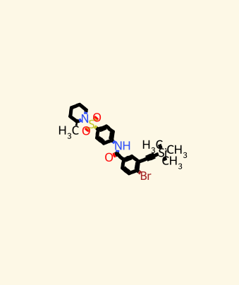 C[C@H]1CCCCN1S(=O)(=O)c1ccc(NC(=O)c2ccc(Br)c(C#C[Si](C)(C)C)c2)cc1